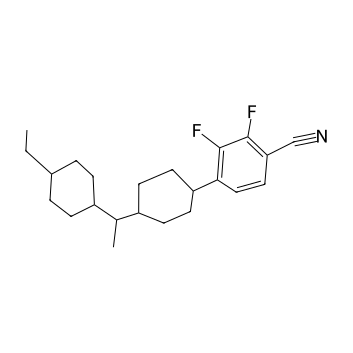 CCC1CCC(C(C)C2CCC(c3ccc(C#N)c(F)c3F)CC2)CC1